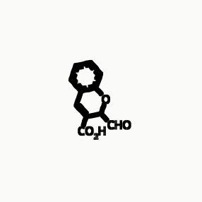 O=CC1Oc2ccccc2C=C1C(=O)O